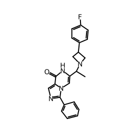 CC(c1cn2c(-c3ccccc3)ncc2c(=O)[nH]1)N1CC(c2ccc(F)cc2)C1